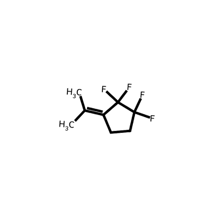 CC(C)=C1CCC(F)(F)C1(F)F